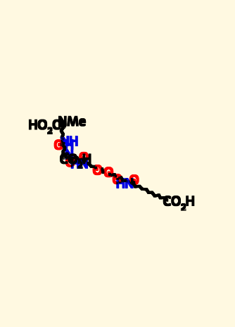 CN[C@@H](CCCCNC(=O)CC[C@H](NC(=O)CCC(=O)NCCCOCCOCCOCCCNC(=O)CCCCCCCCCCC(=O)O)C(=O)O)C(=O)O